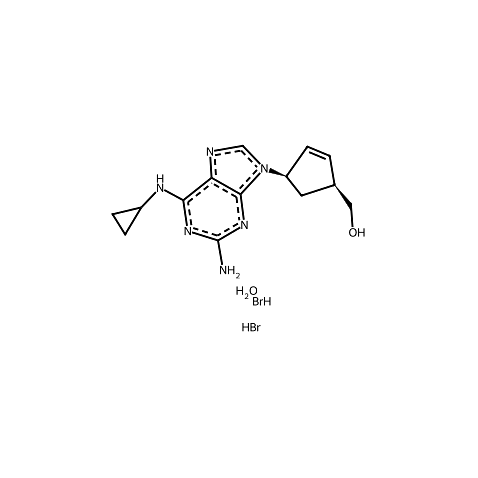 Br.Br.Nc1nc(NC2CC2)c2ncn([C@H]3C=C[C@@H](CO)C3)c2n1.O